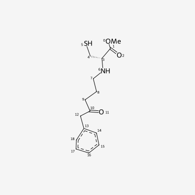 COC(=O)[C@@H](CS)NCCCC(=O)Cc1ccccc1